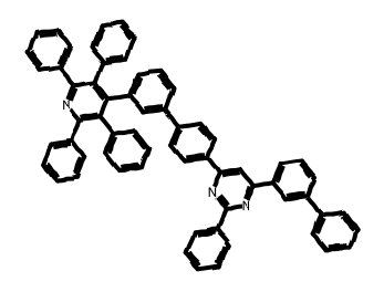 c1ccc(-c2cccc(-c3cc(-c4ccc(-c5cccc(-c6c(-c7ccccc7)c(-c7ccccc7)nc(-c7ccccc7)c6-c6ccccc6)c5)cc4)nc(-c4ccccc4)n3)c2)cc1